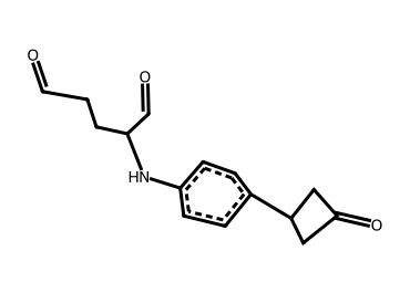 O=CCCC(C=O)Nc1ccc(C2CC(=O)C2)cc1